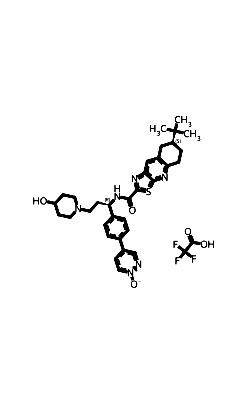 CC(C)(C)[C@H]1CCc2nc3sc(C(=O)N[C@H](CCN4CCC(O)CC4)c4ccc(-c5cc[n+]([O-])nc5)cc4)nc3cc2C1.O=C(O)C(F)(F)F